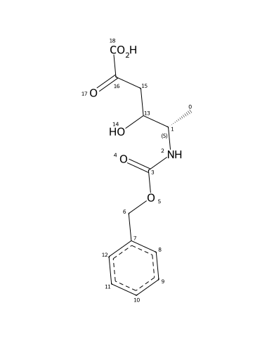 C[C@H](NC(=O)OCc1ccccc1)C(O)CC(=O)C(=O)O